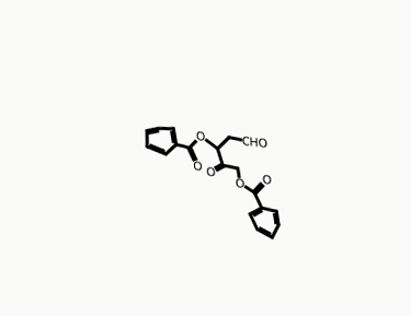 O=CCC(OC(=O)c1ccccc1)C(=O)COC(=O)c1ccccc1